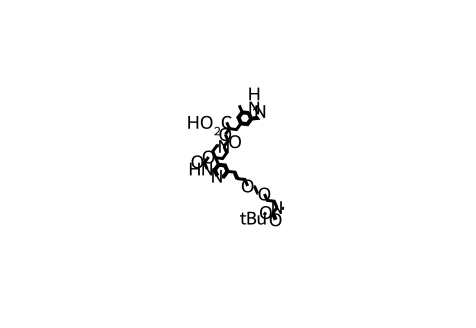 Cc1cc(CC(OC(=O)N2CCC3(CC2)OC(=O)Nc2ncc(C=CCOCCOCCN(C)C(=O)OC(C)(C)C)cc23)C(=O)O)cc2cn[nH]c12